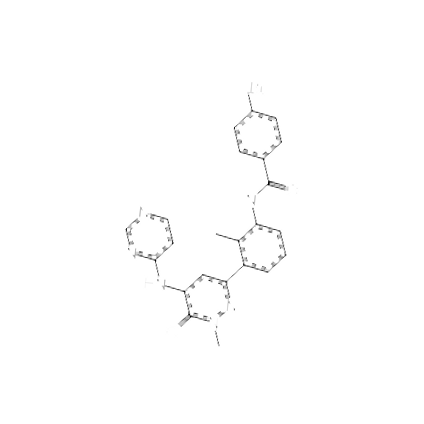 Cc1c(NC(=O)c2ccc(C(C)(C)C)cc2)cccc1-c1cc(Nc2ccncn2)c(=O)n(C)n1